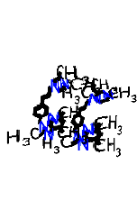 CCc1nc2c(C)cc(C)nc2n1Cc1ccc(C=CCN2CCN(C)CC2C(C)C)cc1.CCc1nc2c(C)cc(C)nc2n1Cc1ccc(C=CCN2CCN(CC)C(C)C2)cc1